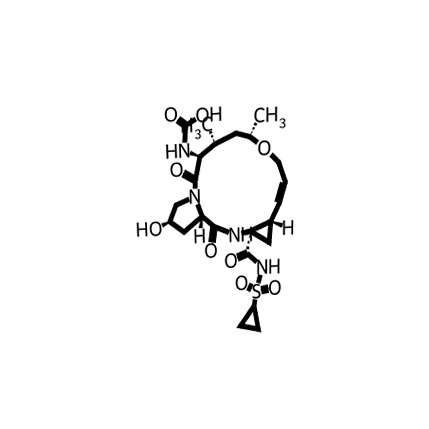 C[C@@H]1C[C@H](C)OC/C=C\[C@@H]2C[C@@]2(C(=O)NS(=O)(=O)C2CC2)NC(=O)[C@@H]2C[C@@H](O)CN2C(=O)[C@H]1NC(=O)O